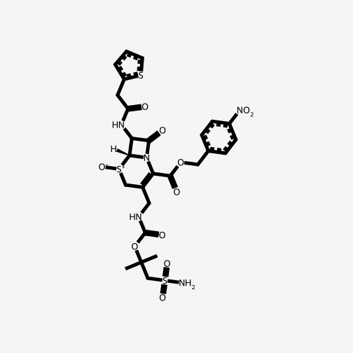 CC(C)(CS(N)(=O)=O)OC(=O)NCC1=C(C(=O)OCc2ccc([N+](=O)[O-])cc2)N2C(=O)C(NC(=O)Cc3cccs3)[C@H]2[S+]([O-])C1